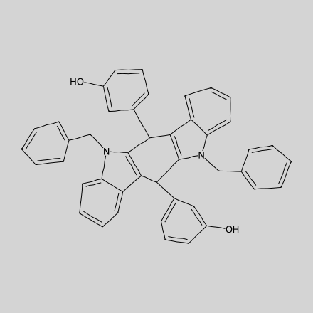 Oc1cccc(C2c3c(n(Cc4ccccc4)c4ccccc34)C(c3cccc(O)c3)c3c2n(Cc2ccccc2)c2ccccc32)c1